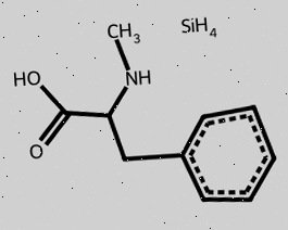 CNC(Cc1ccccc1)C(=O)O.[SiH4]